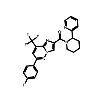 O=C(c1cn2nc(-c3ccc(F)cc3)cc(C(F)(F)F)c2n1)N1CCCCC1c1ccccn1